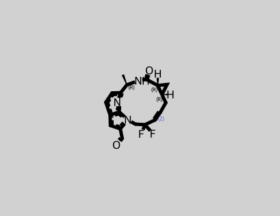 C[C@H]1NC(=O)[C@@H]2C[C@H]2C/C=C\C(F)(F)Cn2c(C=O)cc3ccc1nc32